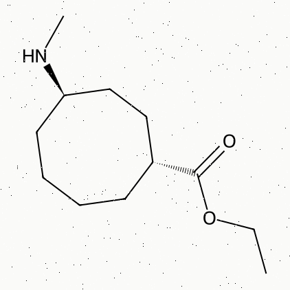 CCOC(=O)[C@@H]1CCCC[C@@H](NC)CC1